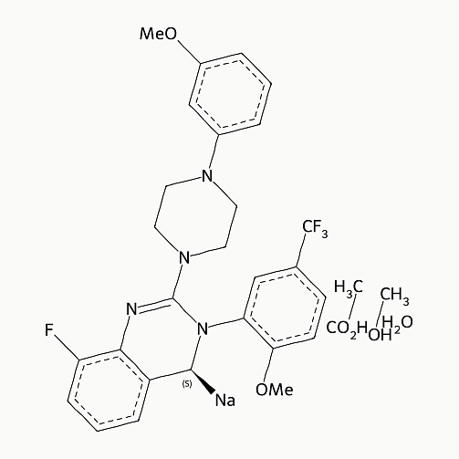 CC(=O)O.CO.COc1cccc(N2CCN(C3=Nc4c(F)cccc4[C@H]([Na])N3c3cc(C(F)(F)F)ccc3OC)CC2)c1.O